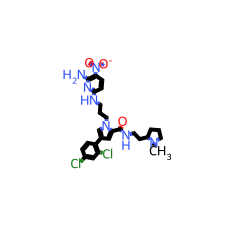 CN1CCCC1CCNC(=O)c1cc(-c2ccc(Cl)cc2Cl)cn1CCCNc1ccc([N+](=O)[O-])c(N)n1